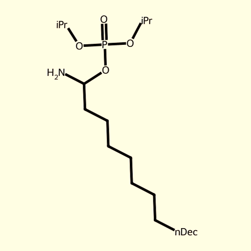 CCCCCCCCCCCCCCCCCC(N)OP(=O)(OC(C)C)OC(C)C